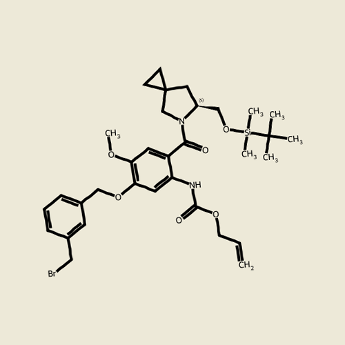 C=CCOC(=O)Nc1cc(OCc2cccc(CBr)c2)c(OC)cc1C(=O)N1CC2(CC2)C[C@H]1CO[Si](C)(C)C(C)(C)C